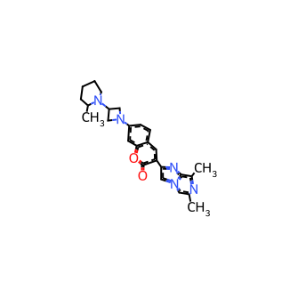 Cc1cn2cc(-c3cc4ccc(N5CC(N6CCCCC6C)C5)cc4oc3=O)nc2c(C)n1